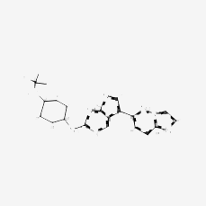 FC(F)(F)OC1CCC(Nc2ncc3c(-c4ccc5nccn5n4)c[nH]c3n2)CC1